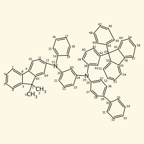 CC1(C)c2ccccc2-c2ccc(N(c3ccccc3)c3cccc(N(c4ccc(-c5ccccc5)cc4)c4cccc(C5(c6ccccc6)c6ccccc6-c6ccccc65)c4)c3)cc21